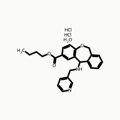 CCCCOC(=O)c1ccc2c(c1)C(NCc1cccnc1)c1ccccc1CO2.Cl.Cl.O